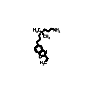 C=Cc1nc2cc(CCC[N+](C)(C)CCCN)ccc2o1